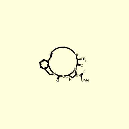 COC(=O)[C@@H]1C[C@@H]2CN1C(=O)C(C(F)(F)F)NCCCCC/C=C/c1cccc3c1CN(C3)C(=O)O2